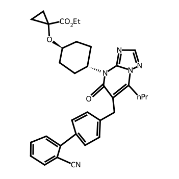 CCCc1c(Cc2ccc(-c3ccccc3C#N)cc2)c(=O)n([C@H]2CC[C@H](OC3(C(=O)OCC)CC3)CC2)c2ncnn12